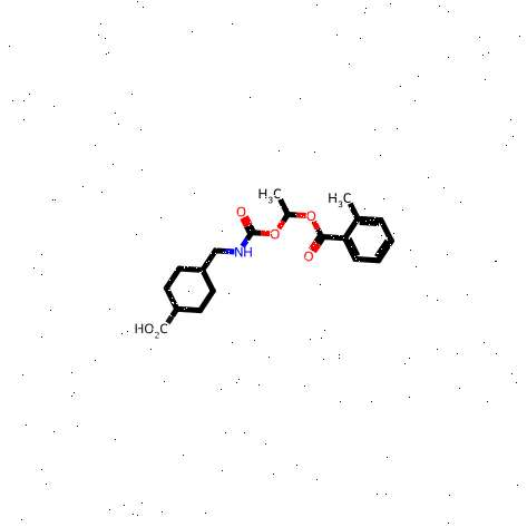 Cc1ccccc1C(=O)OC(C)OC(=O)NCC1CCC(C(=O)O)CC1